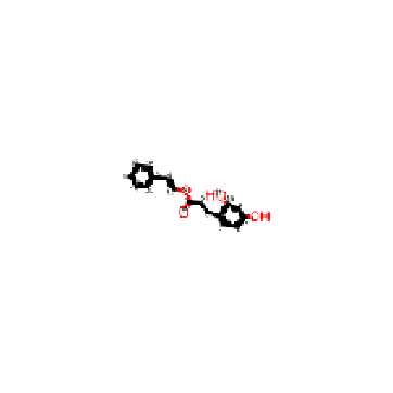 O=C(CCc1ccc(O)cc1O)OC=Cc1ccccc1